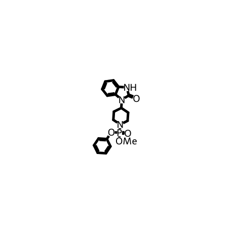 COP(=O)(Oc1ccccc1)N1CCC(n2c(=O)[nH]c3ccccc32)CC1